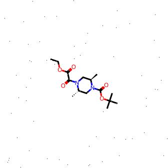 CCOC(=O)C(=O)N1C[C@@H](C)N(C(=O)OC(C)(C)C)C[C@@H]1C